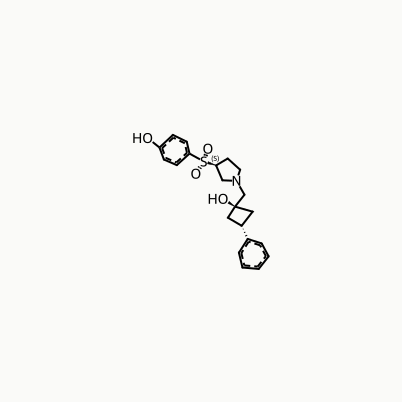 O=S(=O)(c1ccc(O)cc1)[C@H]1CCN(C[C@]2(O)C[C@H](c3ccccc3)C2)C1